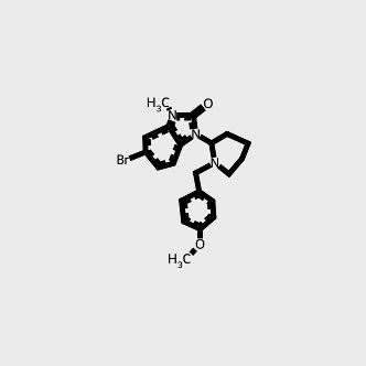 COc1ccc(CN2CCCCC2n2c(=O)n(C)c3cc(Br)ccc32)cc1